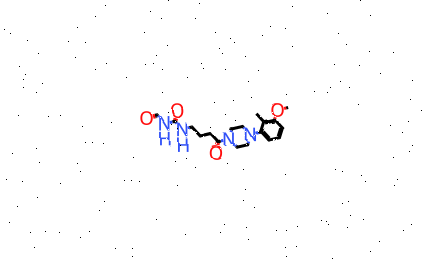 COc1cccc(N2CCN(C(=O)CCCNC(=O)NC=O)CC2)c1C